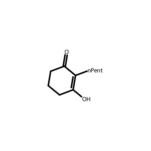 CCCCCC1=C(O)CCCC1=O